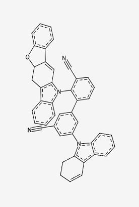 N#Cc1cc(-c2cccc(C#N)c2-n2c3c(c4ccccc42)CC2Oc4ccccc4C2=C3)cc(-n2c3c(c4ccccc42)C=CCC3)c1